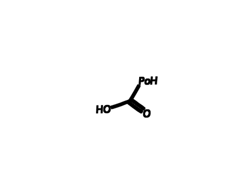 O=[C](O)[PoH]